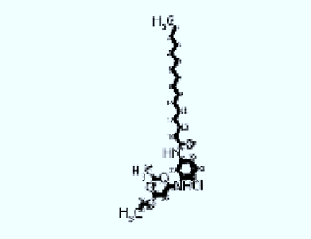 CCCCCCCCCCCCCCCC(=O)Nc1ccc(Cl)c(N/C(=C/C(=O)OCC)OCC)c1